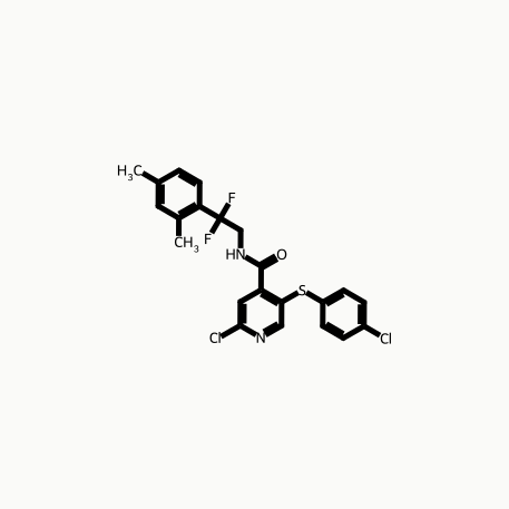 Cc1ccc(C(F)(F)CNC(=O)c2cc(Cl)ncc2Sc2ccc(Cl)cc2)c(C)c1